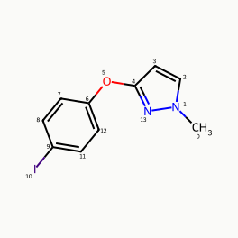 Cn1ccc(Oc2ccc(I)cc2)n1